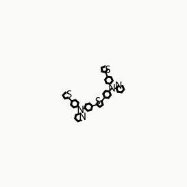 c1ccc(N(c2ccc(-c3cccs3)cc2)c2ccc(-c3ccc(-c4ccc(N(c5ccc(-c6cccs6)cc5)c5ccccn5)cc4)s3)cc2)nc1